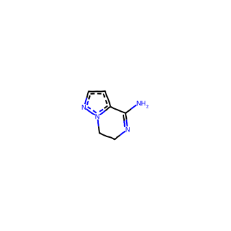 NC1=NCCn2nccc21